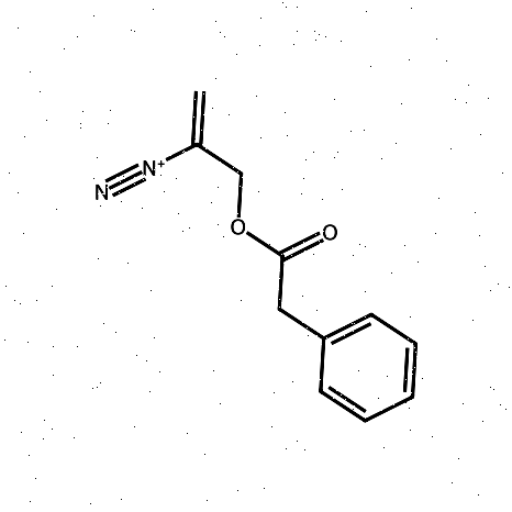 C=C(COC(=O)Cc1ccccc1)[N+]#N